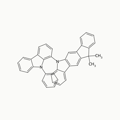 CC1(C)c2ccccc2-c2cc3c(cc21)c1ccccc1n3-c1cccc2c3ccccc3n(-c3ccccc3)c12